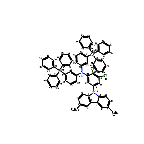 CC(C)(C)c1ccc2c(c1)c1cc(C(C)(C)C)ccc1n2-c1cc(Cl)c(Cl)c(N(c2cccc([Si](c3ccccc3)(c3ccccc3)c3ccccc3)c2)c2cccc([Si](c3ccccc3)(c3ccccc3)c3ccccc3)c2)c1